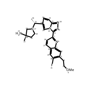 COCCc1cc2nc(-c3nnc4ccc([C@@H](C)N5CC[C@](C)(N)C5)cn34)ccc2cc1F